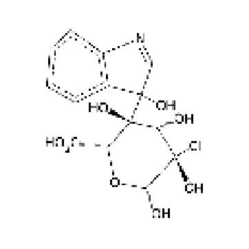 O=C(O)[C@H]1O[C@@H](O)[C@@](O)(Cl)[C@@H](O)[C@@]1(O)C1(O)C=Nc2ccccc21